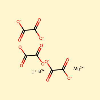 O=C([O-])C(=O)[O-].O=C([O-])C(=O)[O-].O=C([O-])C(=O)[O-].[B+3].[Li+].[Mg+2]